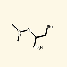 C[SiH](C)OC(CC(C)(C)C)C(=O)O